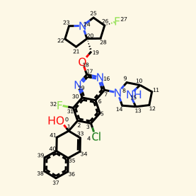 OC1(c2c(Cl)cc3c(N4CC5CCC(C4)N5)nc(OC[C@]45CCCN4C[C@H](F)C5)nc3c2F)C=Cc2ccccc2C1